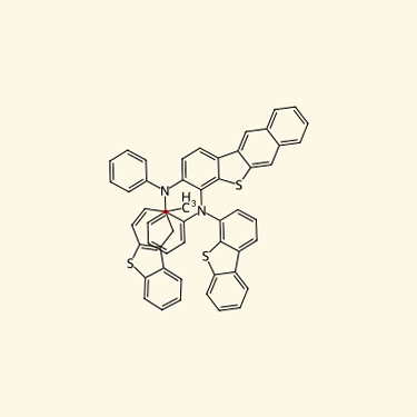 CC1(N(c2ccccc2)c2ccc3c(sc4cc5ccccc5cc43)c2N(c2ccccc2)c2cccc3c2sc2ccccc23)C=Cc2sc3ccccc3c2C1